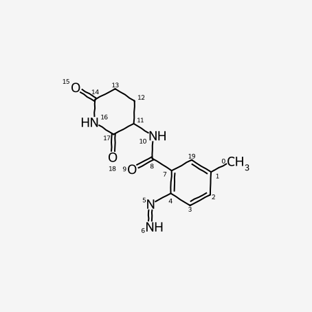 Cc1ccc(N=N)c(C(=O)NC2CCC(=O)NC2=O)c1